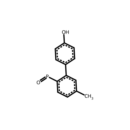 Cc1ccc(P=O)c(-c2ccc(O)cc2)c1